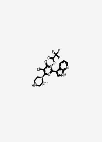 C[C@@H]1CNCCN1c1nc(-c2c[nH]c3ncccc23)n(OC(=O)C(F)(F)F)c(=O)c1Cl